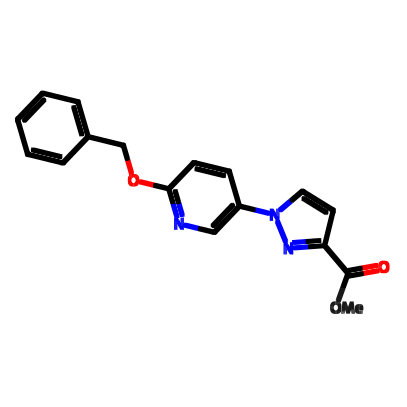 COC(=O)c1ccn(-c2ccc(OCc3ccccc3)nc2)n1